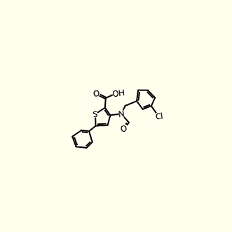 O=CN(Cc1cccc(Cl)c1)c1cc(-c2ccccc2)sc1C(=O)O